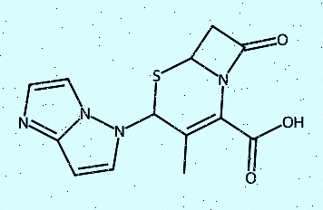 CC1=C(C(=O)O)N2C(=O)CC2SC1n1ccc2nccn21